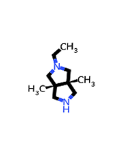 CCN1C[C@]2(C)CNC[C@]2(C)C1